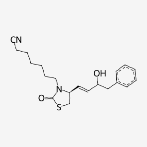 N#CCCCCCCN1C(=O)SC[C@@H]1/C=C/C(O)Cc1ccccc1